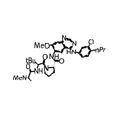 CCCc1ccc(Nc2ncnc3cc(OC)c(NC(=O)[C@@H]4CCCN4C(=O)[C@@H](NC(=O)[C@H](C)NC)C(C)(C)C)cc23)cc1Cl